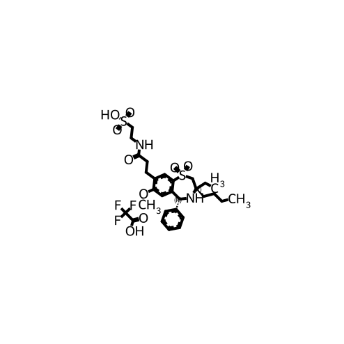 CCCC[C@]1(CC)CS(=O)(=O)c2cc(CCC(=O)NCCS(=O)(=O)O)c(OC)cc2[C@@H](c2ccccc2)N1.O=C(O)C(F)(F)F